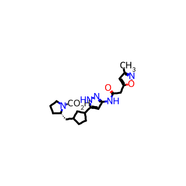 Cc1cc(CC(=O)Nc2cc(C3CCC(C[C@@H]4CCCN4C(=O)O)C3)[nH]n2)on1